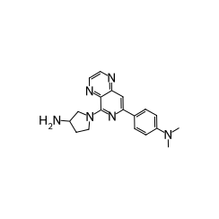 CN(C)c1ccc(-c2cc3nccnc3c(N3CCC(N)C3)n2)cc1